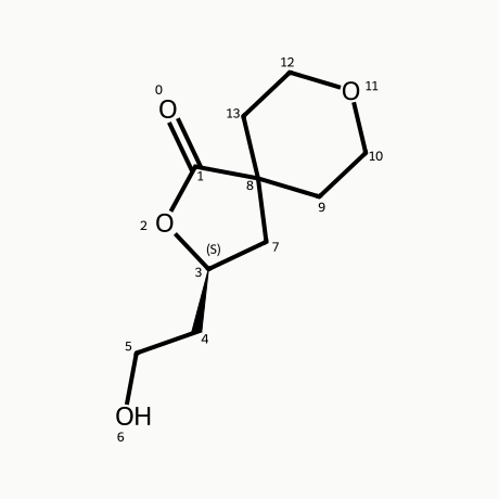 O=C1O[C@H](CCO)CC12CCOCC2